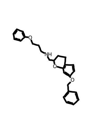 c1ccc(COc2ccc3c(c2)OC(CNCCCOc2ccccc2)CC3)cc1